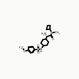 CN(C(=O)[C@@H](N)C1CCC(NS(=O)(=O)c2ccc(OC(F)(F)F)cc2)CC1)C1CCC1